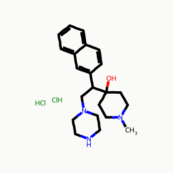 CN1CCC(O)(C(CN2CCNCC2)c2ccc3ccccc3c2)CC1.Cl.Cl